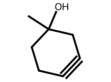 CC1(O)CC#CCC1